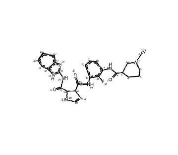 CCN1CCCC(C(=O)Nc2cccc(NC(=O)C3N=CNC3C(=O)Nc3nc4ccccc4[nH]3)c2F)C1